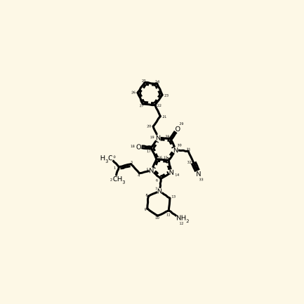 CC(C)=CCn1c(N2CCCC(N)C2)nc2c1c(=O)n(CCc1ccccc1)c(=O)n2CC#N